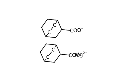 O=C([O-])C1CC2CCC1CC2.O=C([O-])C1CC2CCC1CC2.[Mg+2]